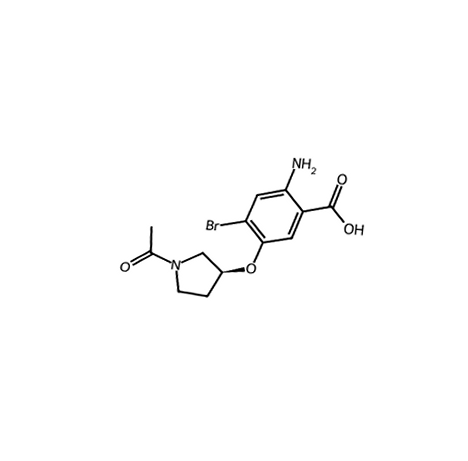 CC(=O)N1CC[C@H](Oc2cc(C(=O)O)c(N)cc2Br)C1